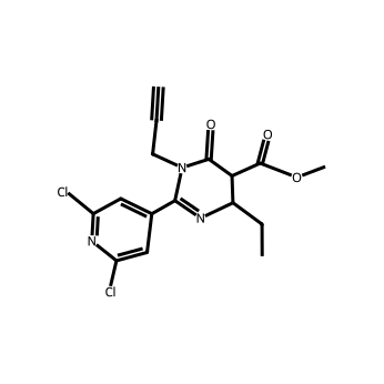 C#CCN1C(=O)C(C(=O)OC)C(CC)N=C1c1cc(Cl)nc(Cl)c1